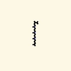 C=C(C)C(=C)C/C=C(\C)CC/C=C(\C)CC/C=C(\C)CCC=C(C)C